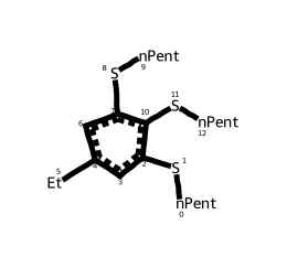 CCCCCSc1cc(CC)cc(SCCCCC)c1SCCCCC